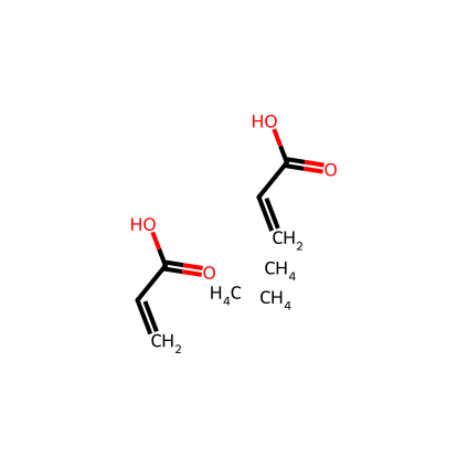 C.C.C.C=CC(=O)O.C=CC(=O)O